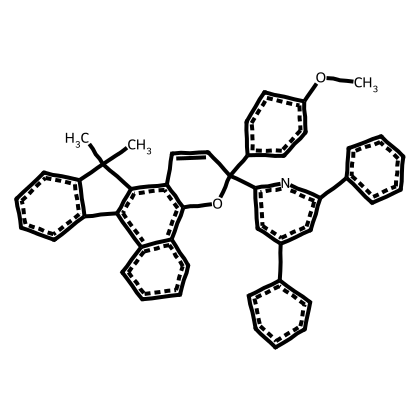 COc1ccc(C2(c3cc(-c4ccccc4)cc(-c4ccccc4)n3)C=Cc3c4c(c5ccccc5c3O2)-c2ccccc2C4(C)C)cc1